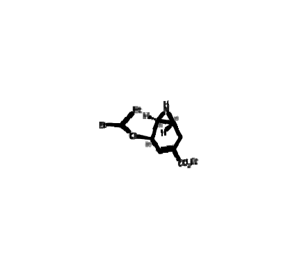 CCOC(=O)C1=C[C@@H](OC(CC)CC)[C@H]2N[C@@H]2C1